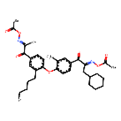 CCC/C(=N\OC(=O)C(C)(C)C)C(=O)c1ccc(Oc2ccc(C(=O)/C(CC3CCCCC3)=N/OC(=O)C(C)(C)C)cc2[N+](=O)[O-])c(CCCCC(C)C)c1